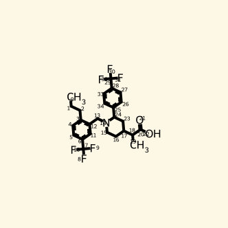 CCCc1ccc(C(F)(F)F)cc1CN1CCC(C(C)C(=O)O)CC1c1ccc(C(F)(F)F)cc1